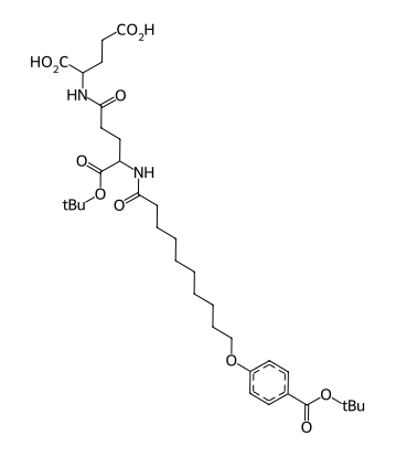 CC(C)(C)OC(=O)c1ccc(OCCCCCCCCCC(=O)NC(CCC(=O)NC(CCC(=O)O)C(=O)O)C(=O)OC(C)(C)C)cc1